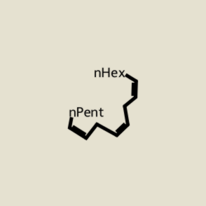 [CH2]CCCCC/C=C\C/C=C\C/C=C\CCCCC